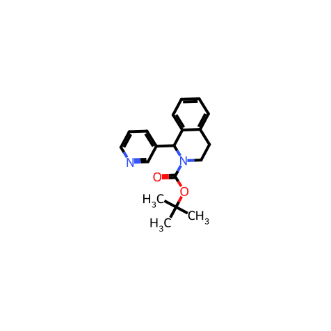 CC(C)(C)OC(=O)N1CCc2ccccc2C1c1cccnc1